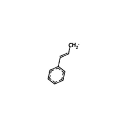 [CH2]/C=C/c1ccccc1